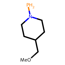 COCC1CCN(P)CC1